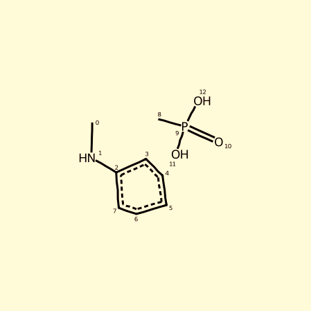 CNc1ccccc1.CP(=O)(O)O